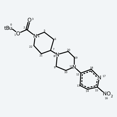 CC(C)(C)OC(=O)N1CCC(N2CCN(c3ccc([N+](=O)[O-])nc3)CC2)CC1